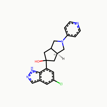 OC1(c2cc(Cl)cc3cn[nH]c23)CC2CN(c3ccncc3)C[C@H]2C1